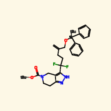 C=C(CCC(F)(F)c1[nH]nc2c1CN(C(=O)OC(C)(C)C)CC2)CO[Si](c1ccccc1)(c1ccccc1)C(C)(C)C